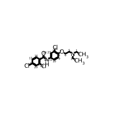 CCN(CC)CCOc1ccc(NC(=O)c2ccc(Cl)cc2Cl)cc1Cl